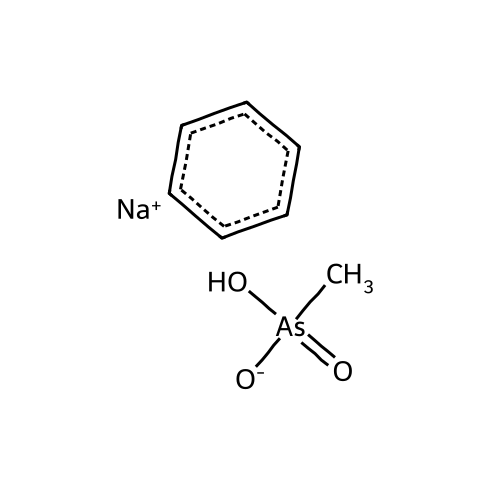 C[As](=O)([O-])O.[Na+].c1ccccc1